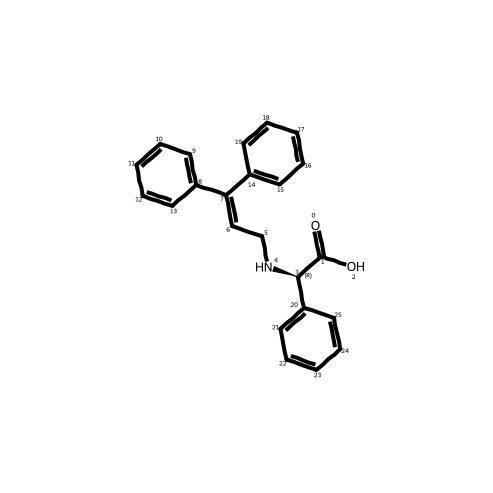 O=C(O)[C@H](NCC=C(c1ccccc1)c1ccccc1)c1ccccc1